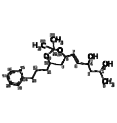 CC(O)CC(O)C=CC1CC(CCCc2ccccc2)OC(C)(C)O1